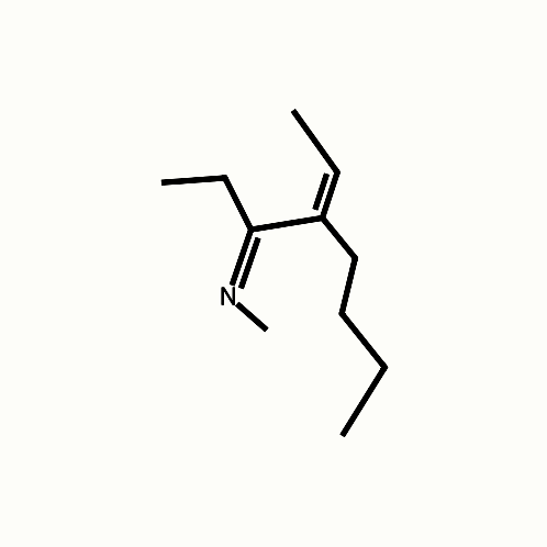 C/C=C(CCCC)\C(CC)=N/C